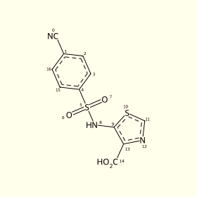 N#Cc1ccc(S(=O)(=O)Nc2scnc2C(=O)O)cc1